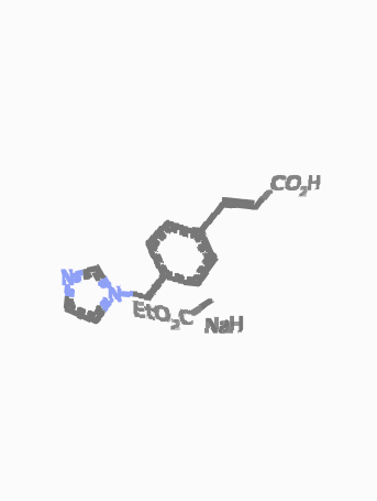 CCOC(C)=O.O=C(O)/C=C/c1ccc(Cn2ccnc2)cc1.[NaH]